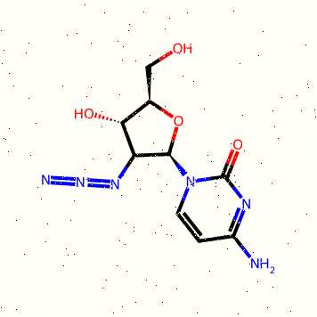 [N-]=[N+]=NC1[C@H](n2ccc(N)nc2=O)O[C@H](CO)[C@H]1O